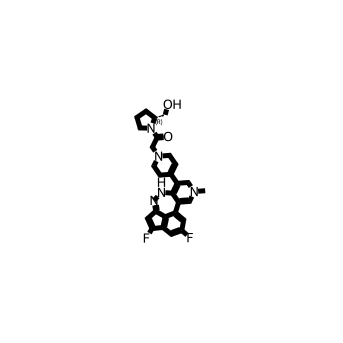 CN1C=C2C(=C(C3=CCN(CC(=O)N4CCC[C@@H]4CO)CC3)C1)NN=C1C=C(F)c3cc(F)cc2c31